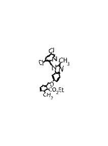 CCOC(=O)c1c(C)cccc1COc1ccc2nc(C)n(Cc3ncc(Cl)cc3Cl)c2c1